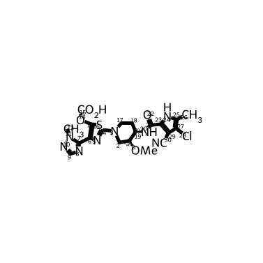 CO[C@H]1CN(c2nc(-c3ncnn3C)c(OC(=O)O)s2)CC[C@H]1NC(=O)c1[nH]c(C)c(Cl)c1C#N